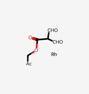 CC(=O)COC(=O)C(C=O)C=O.[Rh]